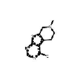 CN1CCc2c(sc3ncnc(Cl)c23)C1